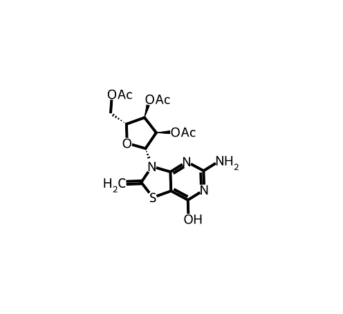 C=C1Sc2c(O)nc(N)nc2N1[C@@H]1O[C@H](COC(C)=O)[C@@H](OC(C)=O)[C@H]1OC(C)=O